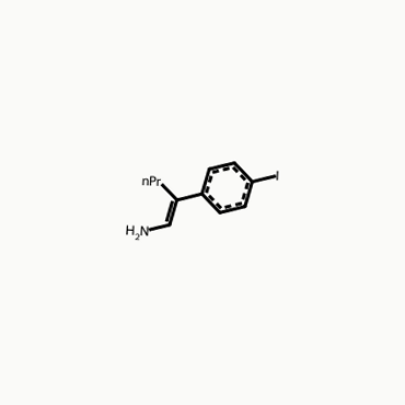 CCCC(=CN)c1ccc(I)cc1